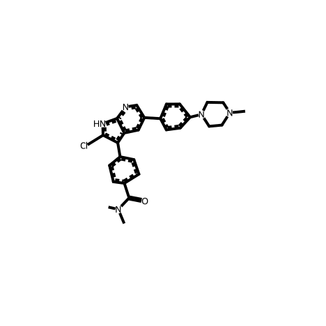 CN1CCN(c2ccc(-c3cnc4[nH]c(Cl)c(-c5ccc(C(=O)N(C)C)cc5)c4c3)cc2)CC1